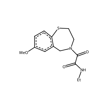 CCNC(=O)C(=O)N1CCSc2ccc(OC)cc2C1